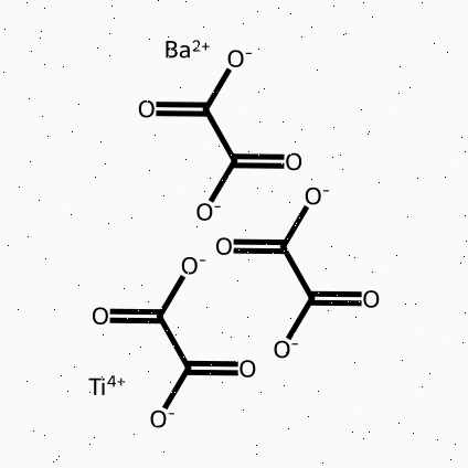 O=C([O-])C(=O)[O-].O=C([O-])C(=O)[O-].O=C([O-])C(=O)[O-].[Ba+2].[Ti+4]